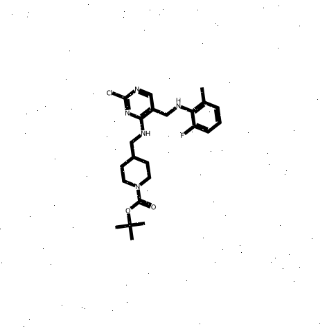 Cc1cccc(F)c1NCc1cnc(Cl)nc1NCC1CCN(C(=O)OC(C)(C)C)CC1